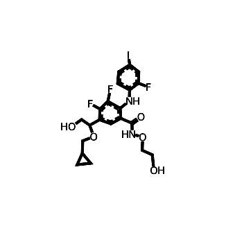 O=C(NOCCO)c1cc(C(CO)OCC2CC2)c(F)c(F)c1Nc1ccc(I)cc1F